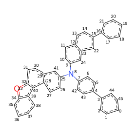 c1ccc(-c2ccc(N(c3ccc4ccc(-c5ccccc5)cc4c3)c3ccc4c(ccc5oc6ccccc6c54)c3)cc2)cc1